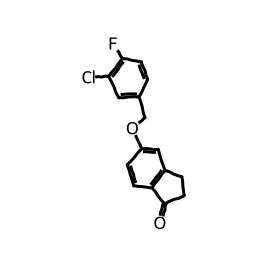 O=C1CCc2cc(OCc3ccc(F)c(Cl)c3)ccc21